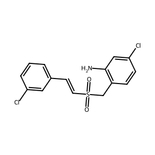 Nc1cc(Cl)ccc1CS(=O)(=O)C=Cc1cccc(Cl)c1